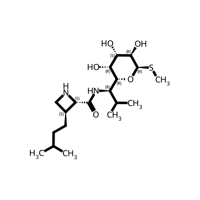 CS[C@H]1O[C@H]([C@H](NC(=O)[C@H]2NC[C@@H]2CCC(C)C)C(C)C)[C@H](O)[C@H](O)[C@H]1O